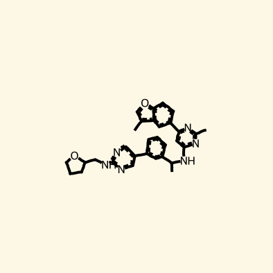 Cc1nc(NC(C)c2cccc(-c3cnc(NCC4CCCO4)nc3)c2)cc(-c2ccc3occ(C)c3c2)n1